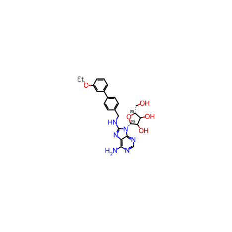 CCOc1cccc(-c2ccc(CNc3nc4c(N)ncnc4n3[C@@H]3O[C@H](CO)C(O)C3O)cc2)c1